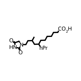 CCCC(CCCCCCC(=O)O)CC(C)CCN1CC(=O)NC1=O